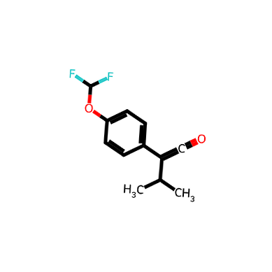 CC(C)C(=C=O)c1ccc(OC(F)F)cc1